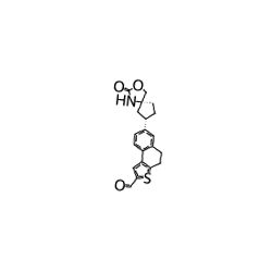 O=Cc1cc2c(s1)CCc1cc([C@H]3CC[C@]4(COC(=O)N4)C3)ccc1-2